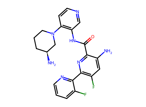 Nc1cc(F)c(-c2ncccc2F)nc1C(=O)Nc1cnccc1N1CCC[C@H](N)C1